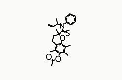 C=CC(C)N(C(=S)C1(C)CCc2c(C)c(OC(C)=O)c(C)c(C)c2O1)c1ccccc1